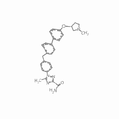 Cc1nc(C(N)=O)nn1-c1ccc(Cc2ccc(-c3ccc(O[C@H]4CCN(C)C4)cc3)cc2)cc1